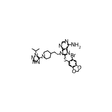 CC(C)n1nnnc1N1CCC(CCn2c(Sc3cc4c(cc3Br)OCO4)nc3c(N)ncnc32)CC1